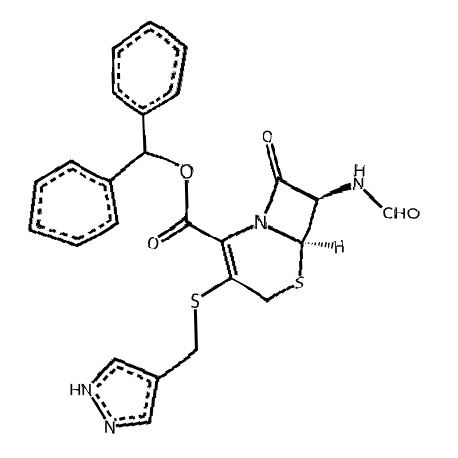 O=CN[C@@H]1C(=O)N2C(C(=O)OC(c3ccccc3)c3ccccc3)=C(SCc3cn[nH]c3)CS[C@H]12